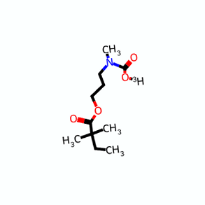 [3H]OC(=O)N(C)CCCOC(=O)C(C)(C)CC